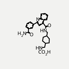 NC(=O)c1cccc(-c2cc(C(=O)NCC3CCC(CNC(=O)O)CC3)c3ccccc3n2)c1